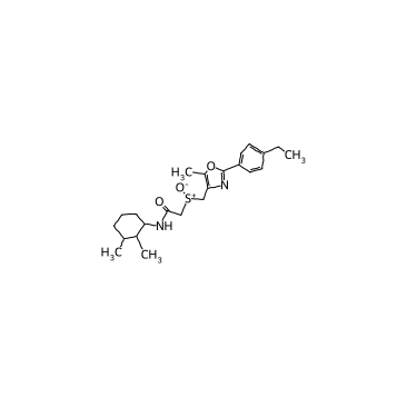 CCc1ccc(-c2nc(C[S+]([O-])CC(=O)NC3CCCC(C)C3C)c(C)o2)cc1